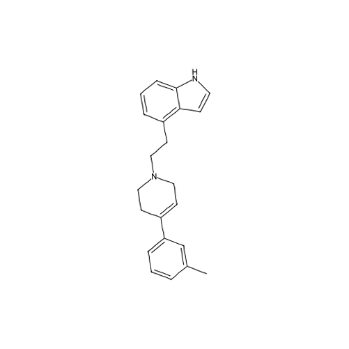 Cc1cccc(C2=CCN(CCc3cccc4[nH]ccc34)CC2)c1